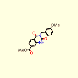 COC(=O)c1ccc2c(=O)n(Cc3cccc(OC)c3)c(=O)[nH]c2c1